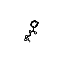 COCOC(=O)c1ccccc1